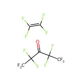 FC(F)=C(F)F.O=C(C(F)(F)C(F)(F)F)C(F)(F)C(F)(F)F